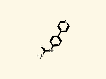 NC(=O)Nc1ccc(-c2ccncc2)cc1